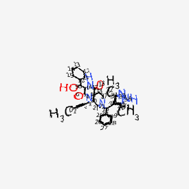 CC#CCN1C(=O)[C@H]([C@@H](O)C2CCCCC2)NC(=O)C12CCN(C(c1ccccc1)c1c(C)n[nH]c1C)CC2